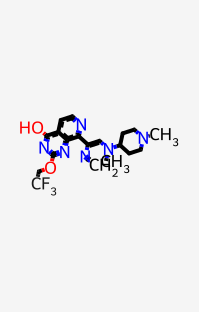 C=N/C(=C\N(C)C1CCN(C)CC1)c1nccc2c(O)nc(OCC(F)(F)F)nc12